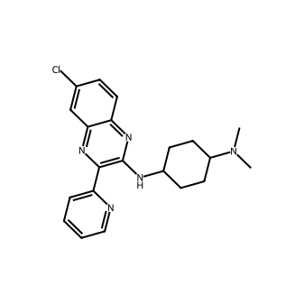 CN(C)C1CCC(Nc2nc3ccc(Cl)cc3nc2-c2ccccn2)CC1